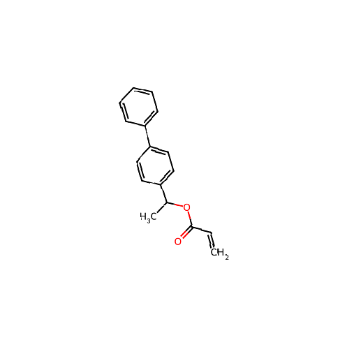 C=CC(=O)OC(C)c1ccc(-c2ccccc2)cc1